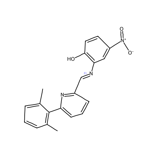 Cc1cccc(C)c1-c1cccc(/C=N/c2cc([N+](=O)[O-])ccc2O)n1